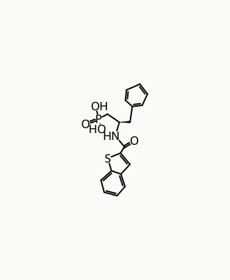 O=C(N[C@H](Cc1ccccc1)CP(=O)(O)O)c1cc2ccccc2s1